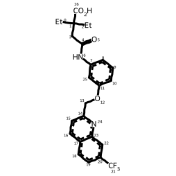 CCC(CC)(CC(=O)Nc1cccc(OCc2ccc3ccc(C(F)(F)F)cc3n2)c1)C(=O)O